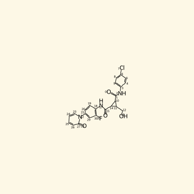 O=C(Nc1ccc(Cl)cc1)C1C(CO)C1C(=O)Nc1ccc(-n2ccccc2=O)cc1F